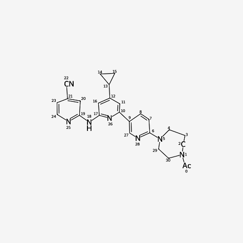 CC(=O)N1CCCN(c2ccc(-c3cc(C4CC4)cc(Nc4cc(C#N)ccn4)n3)cn2)CC1